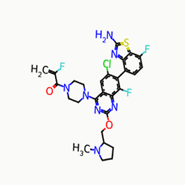 C=C(F)C(=O)N1CCN(c2nc(OCC3CCCN3C)nc3c(F)c(-c4ccc(F)c5sc(N)nc45)c(Cl)cc23)CC1